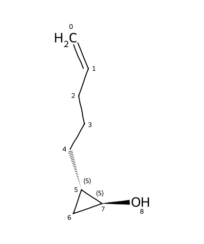 C=CCCC[C@H]1C[C@@H]1O